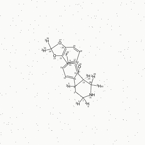 [2H]C1([2H])CC([2H])(c2ccc(F)cc2)[C@@]([2H])(COc2ccc3c(c2)OC([2H])([2H])O3)C([2H])([2H])N1